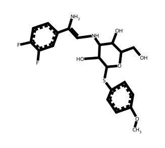 COc1ccc(SC2OC(CO)C(O)C(N/C=C(\N)c3ccc(F)c(F)c3)C2O)cc1